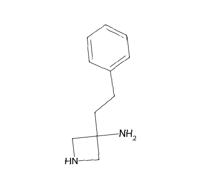 NC1(CCc2ccccc2)CNC1